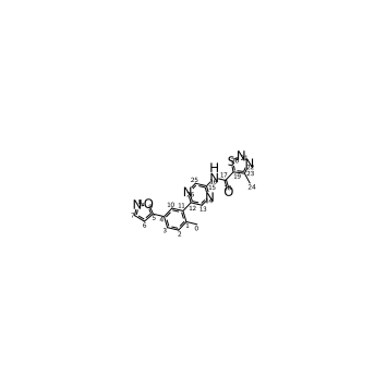 Cc1ccc(-c2ccno2)cc1-c1cnc(NC(=O)c2snnc2C)cn1